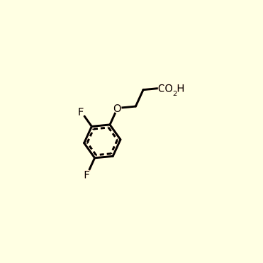 O=C(O)CCOc1ccc(F)cc1F